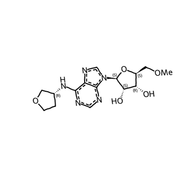 COC[C@@H]1O[C@H](n2cnc3c(N[C@@H]4CCOC4)ncnc32)[C@@H](O)[C@H]1O